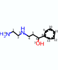 NCCNCCC(O)c1ccccc1